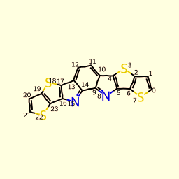 c1cc2sc3c(c2s1)N=c1c-3ccc2c1=Nc1c-2sc2ccsc12